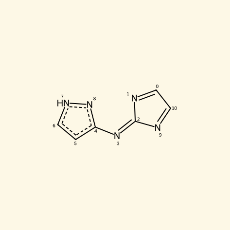 C1=NC(=Nc2cc[nH]n2)N=C1